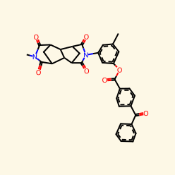 Cc1cc(OC(=O)c2ccc(C(=O)c3ccccc3)cc2)cc(N2C(=O)C3CC(C2=O)C2C4CC(C(=O)N(C)C4=O)C32)c1